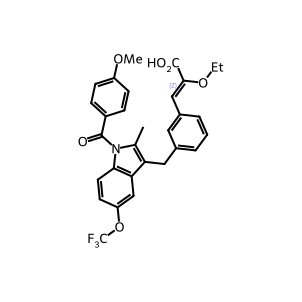 CCO/C(=C\c1cccc(Cc2c(C)n(C(=O)c3ccc(OC)cc3)c3ccc(OC(F)(F)F)cc23)c1)C(=O)O